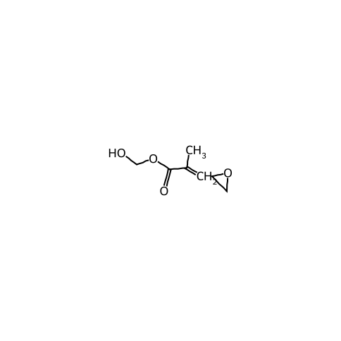 C1CO1.C=C(C)C(=O)OCO